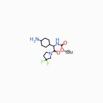 CC(C)(C)OC(=O)NC(C(=O)N1CCC(F)(F)C1)C1CCC(N)CC1